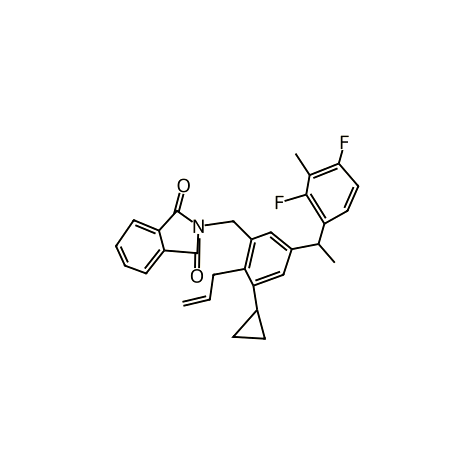 C=CCc1c(CN2C(=O)c3ccccc3C2=O)cc(C(C)c2ccc(F)c(C)c2F)cc1C1CC1